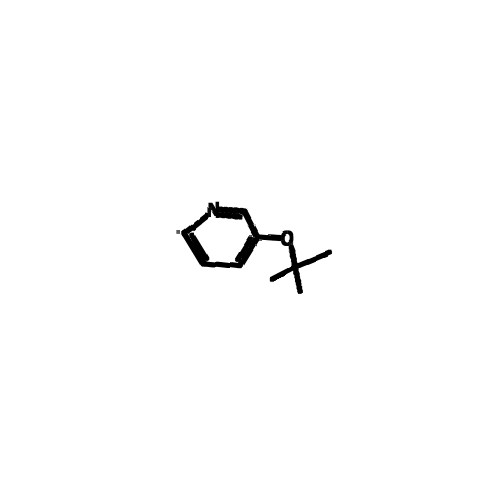 CC(C)(C)Oc1cc[c]nc1